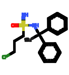 CC(C)(C)[Si](NS(=N)(=O)CCCCl)(c1ccccc1)c1ccccc1